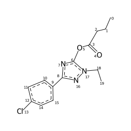 CCCC(=O)Oc1nc(-c2ccc(Cl)cc2)nn1CC